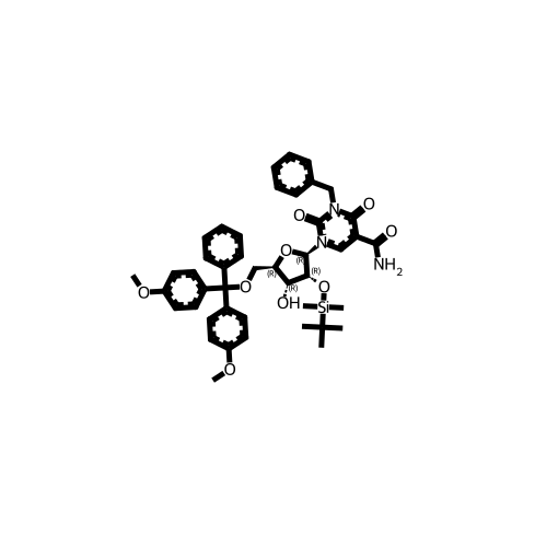 COc1ccc(C(OC[C@H]2O[C@@H](n3cc(C(N)=O)c(=O)n(Cc4ccccc4)c3=O)[C@H](O[Si](C)(C)C(C)(C)C)[C@@H]2O)(c2ccccc2)c2ccc(OC)cc2)cc1